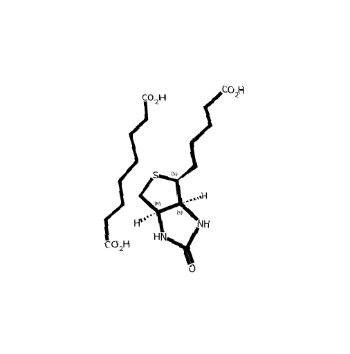 O=C(O)CCCCCCC(=O)O.O=C(O)CCCC[C@@H]1SC[C@@H]2NC(=O)N[C@@H]21